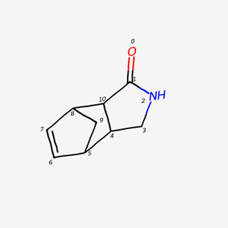 O=C1NCC2C3C=CC(C3)C12